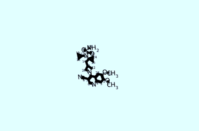 COc1cc2ncc(C#N)c(N3CC(CC4(N(C5CC5)S(N)(=O)=O)CC4)C3)c2cc1OC